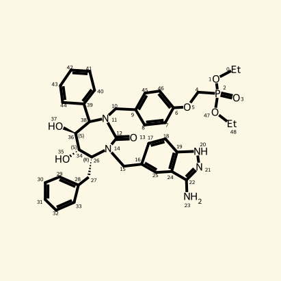 CCOP(=O)(COc1ccc(CN2C(=O)N(Cc3ccc4[nH]nc(N)c4c3)[C@H](Cc3ccccc3)[C@H](O)[C@@H](O)C2c2ccccc2)cc1)OCC